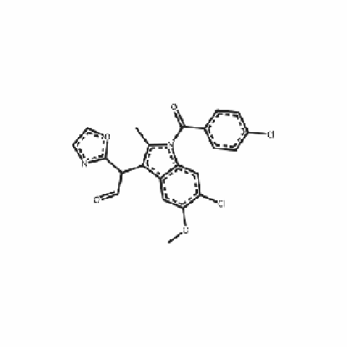 COc1cc2c(C(C=O)c3ncco3)c(C)n(C(=O)c3ccc(Cl)cc3)c2cc1Cl